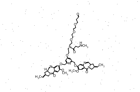 C/C=C1\CC2C=Nc3cc(OCc4cc(OCCN(CCOCCOCCOCCC=O)C(=O)CCNC)cc(COc5cc6c(cc5OC)C(=O)N5C/C(=C/C)C[C@H]5C=N6)n4)c(OC)cc3C(=O)N2C1